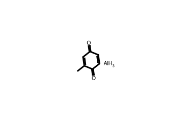 CC1=CC(=O)C=CC1=O.[AlH3]